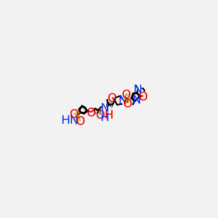 CNS(=O)(=O)c1cccc(OC[C@@H](O)CN[C@H]2COC3(CCN(S(=O)(=O)c4cc5c(nc4C)OCCN5C)CC3)C2)c1